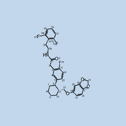 O=C(Cc1cc([C@@H]2CCCC[C@H]2COc2ccc3c(c2)OCO3)ccc1F)NCCc1c(F)cccc1F